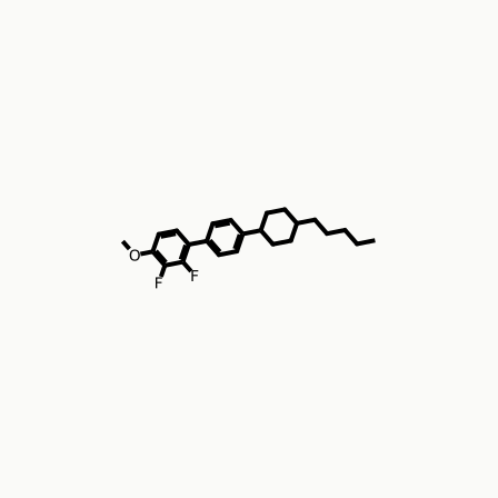 CCCCCC1CCC(c2ccc(-c3ccc(OC)c(F)c3F)cc2)CC1